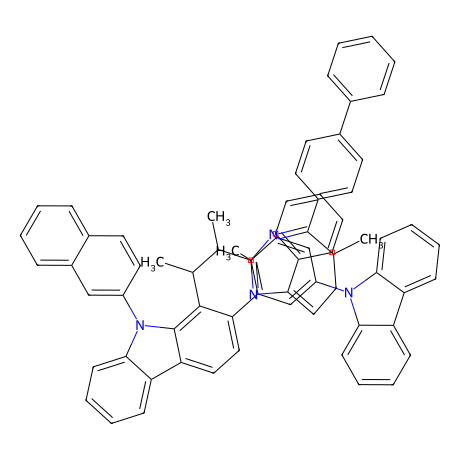 Cc1ccc(-n2c3ccccc3c3ccccc32)cc1-c1ccc2c3ccccc3n(-c3ccc4ccccc4c3)c2c1C(C)C(C)C1=N/C(c2ccccc2)=C/CC(C)/C(c2ccc(-c3ccccc3)cc2)=N\1